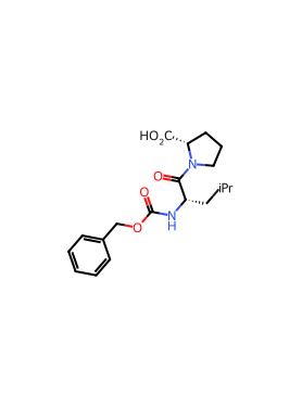 CC(C)C[C@H](NC(=O)OCc1ccccc1)C(=O)N1CCC[C@H]1C(=O)O